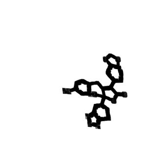 N#Cc1ccc(CC2=C(c3ccc4c(c3)OCO4)C(=O)OC2(O)c2ccc3nsnc3c2)cc1